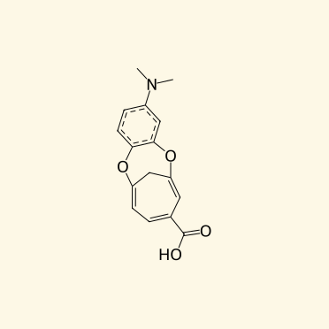 CN(C)c1ccc2c(c1)OC1=CC(C(=O)O)=CC=C(C1)O2